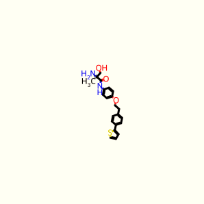 C[C@](N)(CO)C(=O)Nc1ccc(OCCc2ccc(-c3cccs3)cc2)cc1